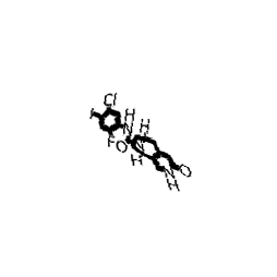 O=C(Nc1cc(Cl)c(I)cc1F)N1[C@H]2CC[C@@H]1c1c[nH]c(=O)cc1C2